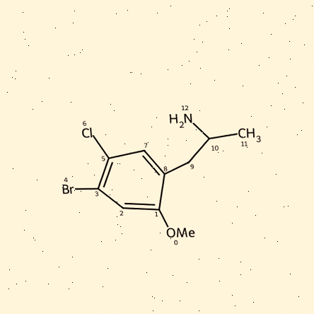 COc1cc(Br)c(Cl)cc1CC(C)N